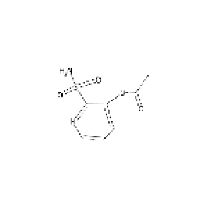 CC(=O)Oc1cccnc1S(N)(=O)=O